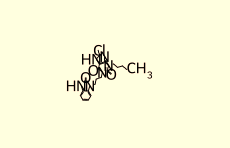 CCCCCn1c(=O)n(CCCn2c(=O)[nH]c3ccccc32)c(=O)c2[nH]c(Cl)nc21